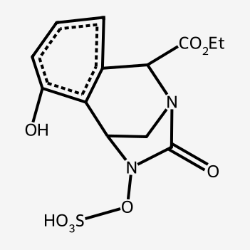 CCOC(=O)C1c2cccc(O)c2C2CN1C(=O)N2OS(=O)(=O)O